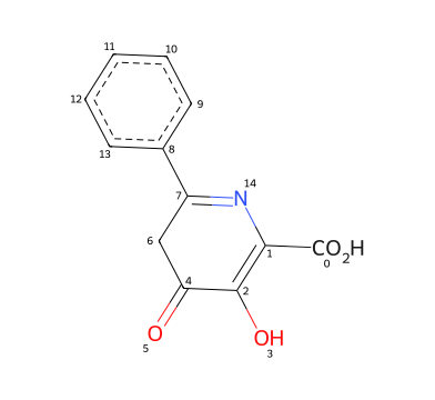 O=C(O)C1=C(O)C(=O)CC(c2ccccc2)=N1